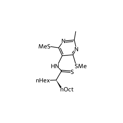 CCCCCCCC[C@@H](CCCCCC)C(=S)Nc1c(SC)nc(C)nc1SC